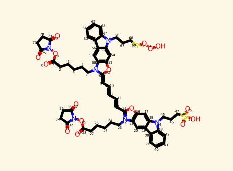 O=C(CCCCCN1/C(=C/C=C/C=C/c2oc3cc4c(cc3[n+]2CCCCCC(=O)ON2C(=O)CCC2=O)c2ccccc2n4CCCS(=O)(=O)O)Oc2cc3c(cc21)c1ccccc1n3CCCSOOO)ON1C(=O)CCC1=O